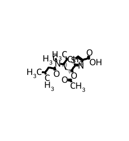 CC(=O)O[C@H](C[C@H](C(C)C)N(C)C(=O)CC(C)C)c1nc(C(=O)O)cs1